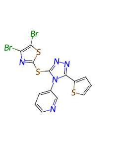 Brc1nc(Sc2nnc(-c3cccs3)n2-c2cccnc2)sc1Br